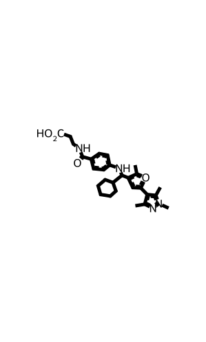 Cc1nn(C)c(C)c1-c1cc(C(Nc2ccc(C(=O)NCCC(=O)O)cc2)C2CCCCC2)c(C)o1